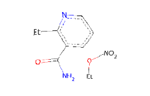 CCO[N+](=O)[O-].CCc1ncccc1C(N)=O